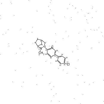 CN1C2CCC(C2)CC1c1ccc(-c2ccc(Cl)cc2)cn1